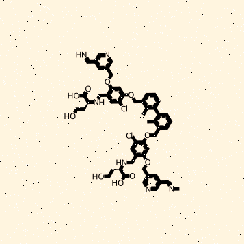 C/N=C/c1cncc(COc2cc(OCc3cccc(-c4cccc(COc5cc(OCc6cncc(C=N)c6)c(CN[C@@H](CCO)C(=O)O)cc5Cl)c4C)c3C)c(Cl)cc2CN[C@@H](CCO)C(=O)O)c1